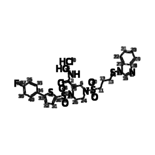 Cl.O=C(NO)[C@H]1CN(S(=O)(=O)CCCSn2cnc3ccccc32)CCN1S(=O)(=O)c1ccc(-c2ccc(F)cc2)s1